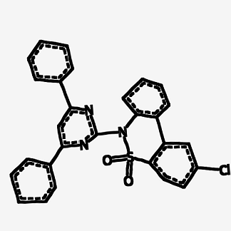 O=S1(=O)c2ccc(Cl)cc2-c2ccccc2N1c1nc(-c2ccccc2)cc(-c2ccccc2)n1